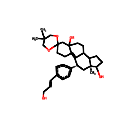 CC1(C)COC2(CCC3=C4C(CCC3(O)C2)C2CCC(O)[C@@]2(C)C[C@@H]4c2ccc(/C=C/CO)cc2)OC1